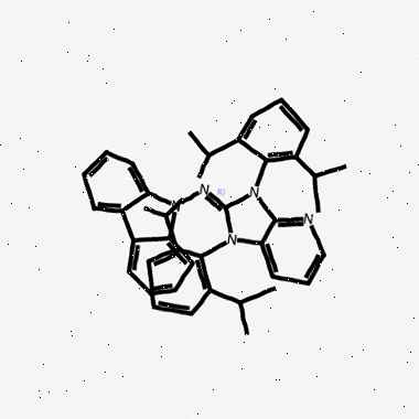 CC(C)c1cccc(C(C)C)c1-n1/c(=N\n2c3ccccc3c3ccccc32)n(-c2c(C(C)C)cccc2C(C)C)c2ncccc21